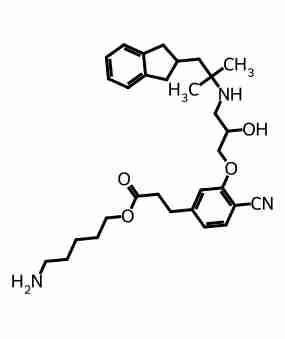 CC(C)(CC1Cc2ccccc2C1)NCC(O)COc1cc(CCC(=O)OCCCCCN)ccc1C#N